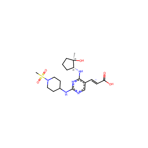 C[C@@]1(O)CCC[C@H]1Nc1nc(NC2CCN(S(C)(=O)=O)CC2)ncc1/C=C/C(=O)O